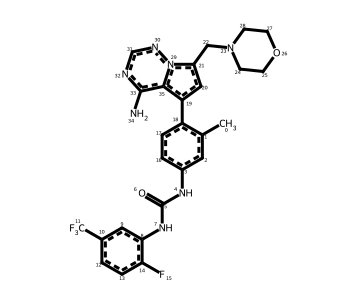 Cc1cc(NC(=O)Nc2cc(C(F)(F)F)ccc2F)ccc1-c1cc(CN2CCOCC2)n2ncnc(N)c12